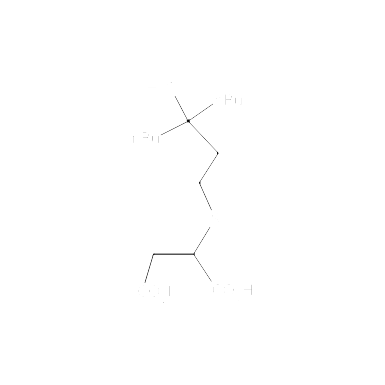 CCCCC(C)(CCCC)CCSC(CC(=O)O)C(=O)O